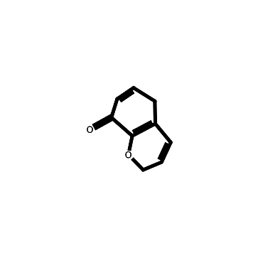 O=C1C=CCC2=C1OCC=C2